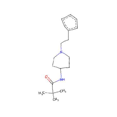 CC(C)(C)C(=O)NC1CCN(CCc2ccccc2)CC1